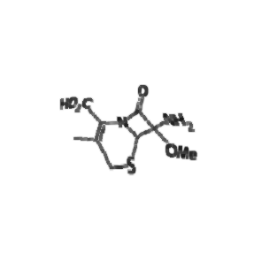 COC1(N)C(=O)N2C(C(=O)O)=C(C)CSC21